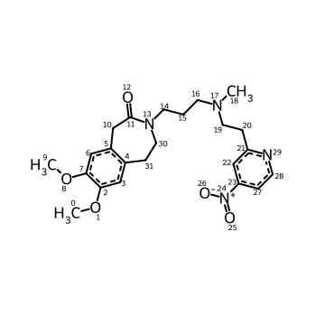 COc1cc2c(cc1OC)CC(=O)N(CCCN(C)CCc1cc([N+](=O)[O-])ccn1)CC2